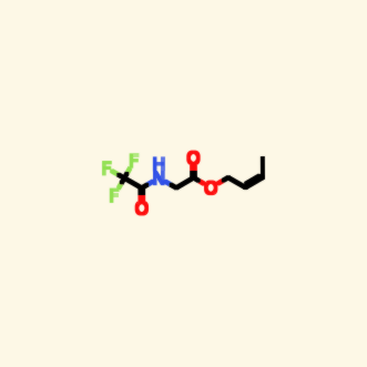 C/C=C\COC(=O)CNC(=O)C(F)(F)F